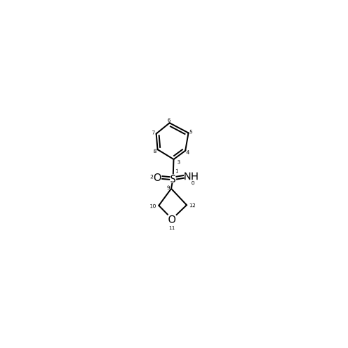 N=S(=O)(c1ccccc1)C1COC1